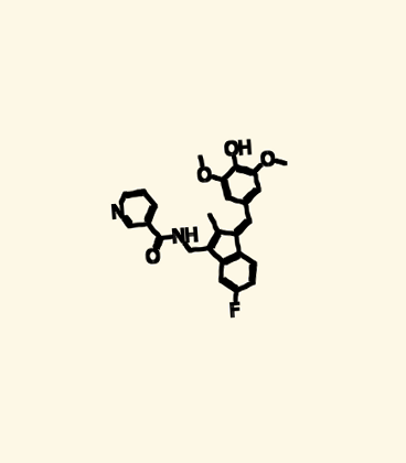 COc1cc(C=C2C(C)=C(CNC(=O)c3cccnc3)c3cc(F)ccc32)cc(OC)c1O